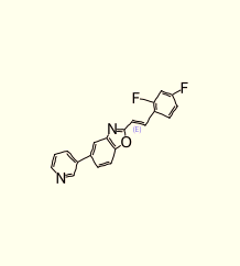 Fc1ccc(/C=C/c2nc3cc(-c4cccnc4)ccc3o2)c(F)c1